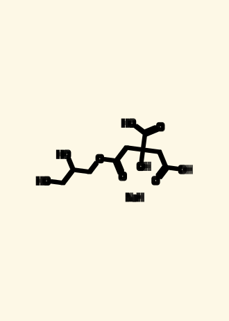 O=C(O)CC(O)(CC(=O)OCC(O)CO)C(=O)O.[NaH]